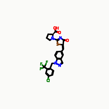 O=C1N=C(N2CCC[C@H]2C(=O)O)S/C1=C\c1ccc2c(cnn2Cc2ccc(Cl)cc2C(F)(F)F)c1